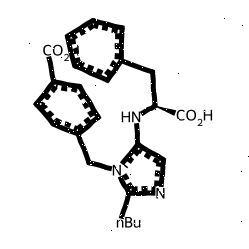 CCCCc1ncc(N[C@@H](Cc2ccccc2)C(=O)O)n1Cc1ccc(C(=O)O)cc1